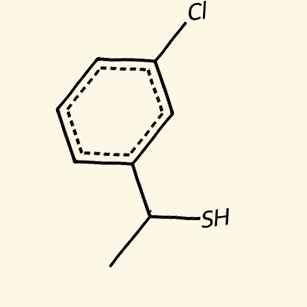 C[C](S)c1cccc(Cl)c1